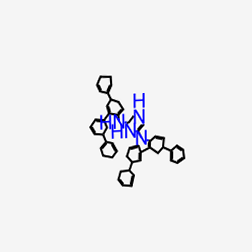 C1=CCC(C2C=c3c4c(n(C5=CNCC(NC6=CCC(C7=CCCC=C7)C=C6C6=CC=CC(C7=CCCC=C7)C6)N5)c3=CC2)C=CC(c2ccccc2)C4)C=C1